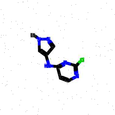 CCn1cc(Nc2ccnc(Cl)n2)cn1